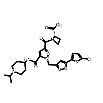 CC(C)N1CCC(NC(=O)c2cc(C(=O)N3CC[C@H]3C(=O)O)nn2Cc2cc(-c3ccc(Cl)s3)on2)CC1